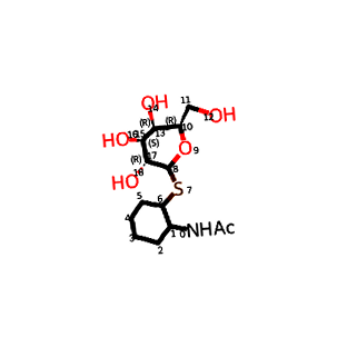 CC(=O)NC1CCCCC1SC1O[C@H](CO)[C@H](O)[C@H](O)[C@H]1O